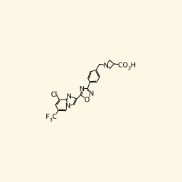 O=C(O)C1CN(Cc2ccc(-c3noc(-c4cn5cc(C(F)(F)F)cc(Cl)c5n4)n3)cc2)C1